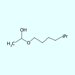 CC(C)CCCCOC(C)O